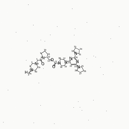 CN1CCN(CC(=O)N2CCCC2COC(=O)N2CCN(c3cc(N4CCCC4)nc(N4CCCC4)n3)CC2)CC1